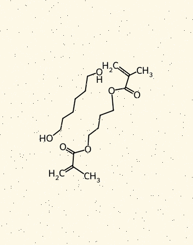 C=C(C)C(=O)OCCCCOC(=O)C(=C)C.OCCCCCCO